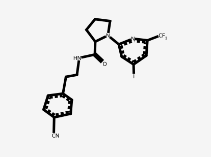 N#Cc1ccc(CCNC(=O)C2CCCN2c2cc(I)cc(C(F)(F)F)n2)cc1